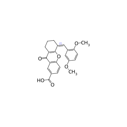 COc1ccc(OC)c(/C=C2/CCCc3c2oc2ccc(C(=O)O)cc2c3=O)c1